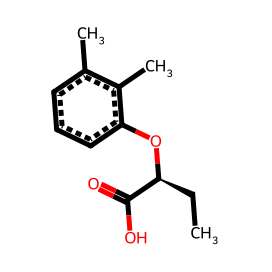 CC[C@H](Oc1cccc(C)c1C)C(=O)O